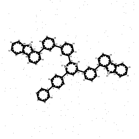 c1ccc(-c2ccc(-c3cc(-c4cccc(-c5cccc6c5oc5ccccc56)c4)nc(-c4cccc(-c5cccc(-c6cccc7c6oc6ccccc67)c5)c4)n3)cc2)cc1